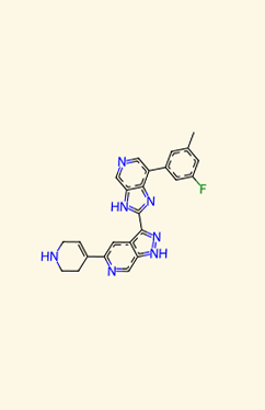 Cc1cc(F)cc(-c2cncc3[nH]c(-c4n[nH]c5cnc(C6=CCNCC6)cc45)nc23)c1